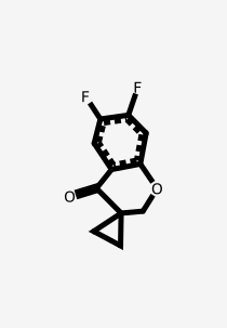 O=C1c2cc(F)c(F)cc2OCC12CC2